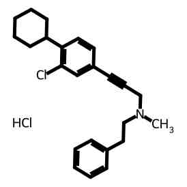 CN(CC#Cc1ccc(C2CCCCC2)c(Cl)c1)CCc1ccccc1.Cl